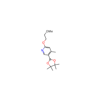 COCCOc1cc(C)c(B2OC(C)(C)C(C)(C)O2)cn1